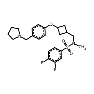 CN(CC1CC(Oc2ccc(CN3CCCC3)cc2)C1)S(=O)(=O)c1ccc(F)c(F)c1